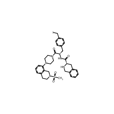 CS(=O)(=O)N1CCc2cccc(N3CCN(C(=O)[C@@H](Cc4ccc(CI)cc4)NC(=O)[C@H]4Cc5ccccc5CN4)CC3)c2C1